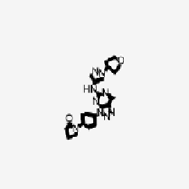 O=C1CCCN1c1ccc(-n2nnc3cnc(Nc4cnn(C5CCOCC5)c4)nc32)cc1